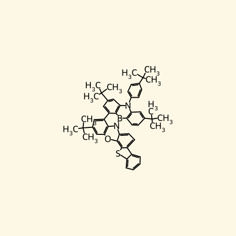 CC(C)(C)c1ccc(N2c3cc(C(C)(C)C)ccc3B3c4c(cc(C(C)(C)C)cc42)-c2cc(C(C)(C)C)cc4c2N3c2ccc3c(sc5ccccc53)c2O4)cc1